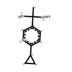 CCCCCCC(C)(CCC)c1ccc(C2CC2)nc1